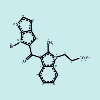 CCOC(=O)CCn1c(C)c(C(=O)c2cc3ccsc3n2CC)c2ccccc21